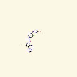 COC1CN(C(=O)c2ncc(NC(=O)N3CC(C)(C)c4c3cnn3cc(C)nc43)cc2Cl)C1